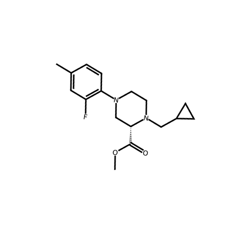 COC(=O)[C@@H]1CN(c2ccc(C)cc2F)CCN1CC1CC1